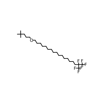 CC(C)(C)CCCOCCCCCCCCCCCCCCCCC(F)(C(F)(F)F)C(F)(F)F